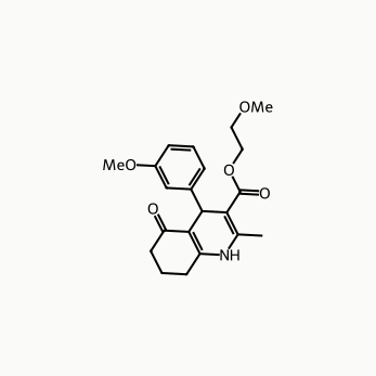 COCCOC(=O)C1=C(C)NC2=C(C(=O)CCC2)C1c1cccc(OC)c1